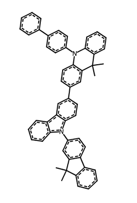 CC1(C)c2ccccc2-c2ccc(-n3c4ccccc4c4cc(-c5ccc6c(c5)C(C)(C)c5ccccc5N6c5ccc(-c6ccccc6)cc5)ccc43)cc21